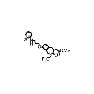 COC(=O)C[C@@H]1Cc2ccc(OCCCNc3cccc[n+]3[O-])cc2CN(CC(F)(F)F)C1=O